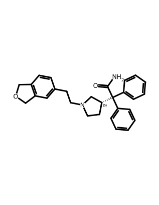 NC(=O)C(c1ccccc1)(c1ccccc1)[C@@H]1CCN(CCc2ccc3c(c2)COC3)C1